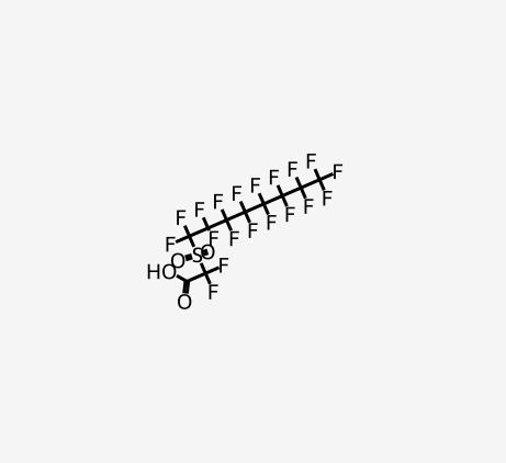 O=C(O)C(F)(F)S(=O)(=O)C(F)(F)C(F)(F)C(F)(F)C(F)(F)C(F)(F)C(F)(F)C(F)(F)C(F)(F)F